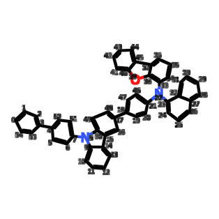 c1ccc(-c2ccc(-n3c4ccccc4c4cc(-c5ccc(N(c6cccc7ccccc67)c6cccc7c6oc6ccccc67)cc5)ccc43)cc2)cc1